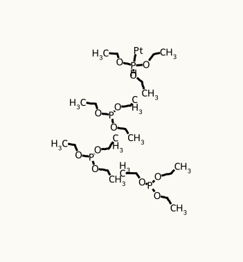 CCOP(OCC)OCC.CCOP(OCC)OCC.CCOP(OCC)OCC.CCO[PH]([Pt])(OCC)OCC